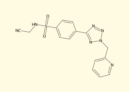 N#CCNS(=O)(=O)c1ccc(-c2nnn(Cc3ccccn3)n2)cc1